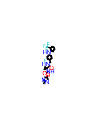 Cc1ncc(OC(=O)NC2(C(=O)NCc3ccc(Nc4ccccc4C(F)(F)F)cc3F)CC2)cn1